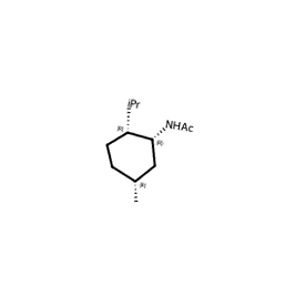 CC(=O)N[C@@H]1C[C@H](C)CC[C@@H]1C(C)C